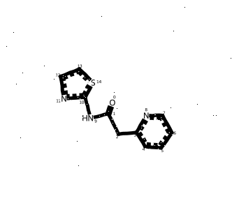 O=C(Cc1ccccn1)Nc1nccs1